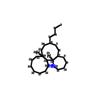 CCCCC1CCC2CCCCN[C@@H]2C2CCCCCCC[C@@H]2CC1